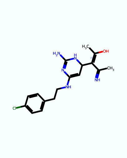 CC(=N)/C(=C(/C)O)C1C=C(NCCc2ccc(Cl)cc2)N=C(N)N1